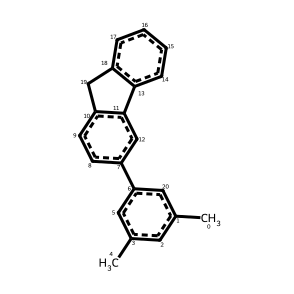 Cc1cc(C)cc(-c2ccc3c(c2)-c2ccccc2C3)c1